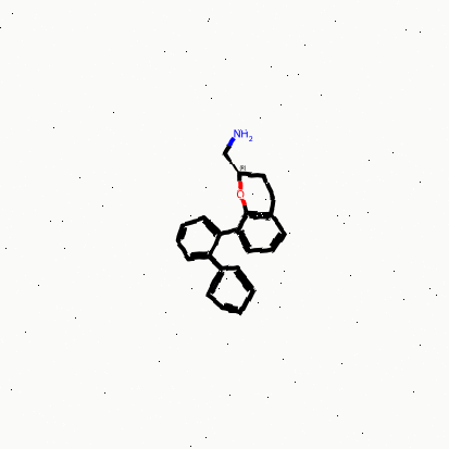 NC[C@H]1CCc2cccc(-c3ccccc3-c3ccccc3)c2O1